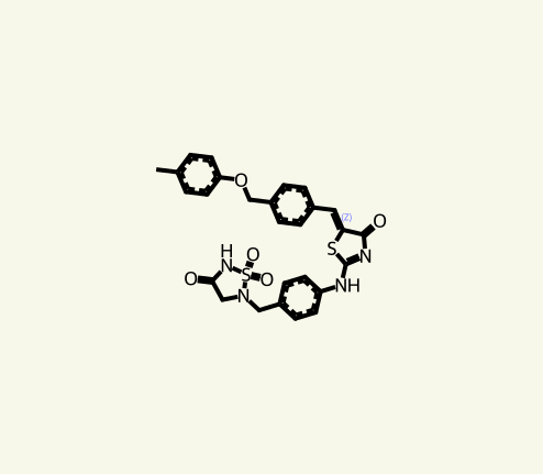 Cc1ccc(OCc2ccc(/C=C3\SC(Nc4ccc(CN5CC(=O)NS5(=O)=O)cc4)=NC3=O)cc2)cc1